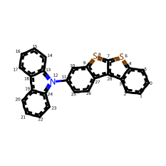 c1ccc2c(c1)sc1sc3cc(-n4c5ccccc5c5ccccc54)ccc3c12